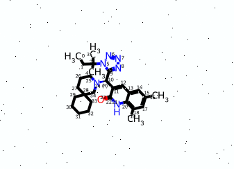 CCC(C)(C)n1nnnc1[C@@H](c1cc2cc(C)cc(C)c2[nH]c1=O)N1CCCC2(CCCCC2)C1